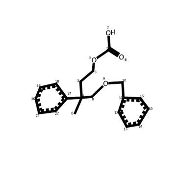 CC(CCOC(=O)O)(COCc1ccccc1)c1ccccc1